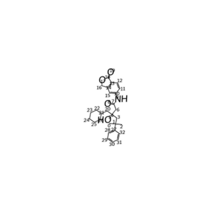 CC(C)(CC(O)(CC(=O)Nc1ccc2c(c1)COC2=O)CC1CCCCC1)c1ccccc1